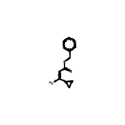 C/C(=C/C(=O)OCc1ccccc1)C1CC1